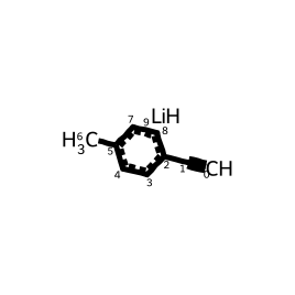 C#Cc1ccc(C)cc1.[LiH]